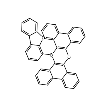 c1ccc2c(c1)oc1c(B3c4c(c5ccccc5c5ccccc45)Oc4c3c3ccccc3c3ccccc43)cccc12